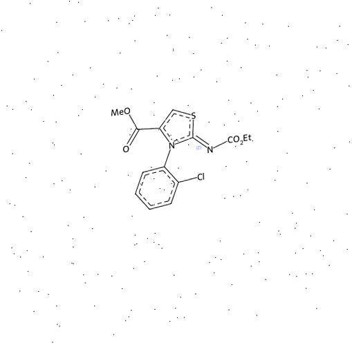 CCOC(=O)/N=c1\scc(C(=O)OC)n1-c1ccccc1Cl